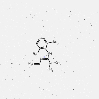 C=C/N=C(/Nc1c(C)cccc1N)N(C)C